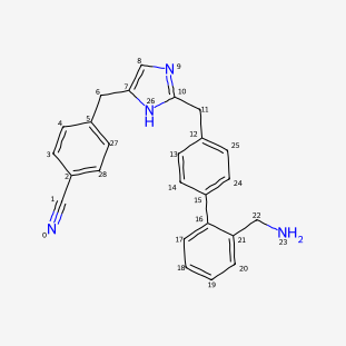 N#Cc1ccc(Cc2cnc(Cc3ccc(-c4ccccc4CN)cc3)[nH]2)cc1